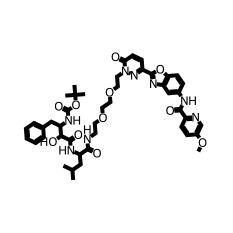 COc1ccc(C(=O)Nc2ccc3oc(-c4ccc(=O)n(CCOCCOCCNC(=O)C(CC(C)C)NC(=O)C(O)C(Cc5ccccc5)NC(=O)OC(C)(C)C)n4)nc3c2)nc1